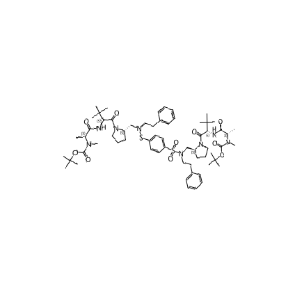 C[C@@H](C(=O)N[C@H](C(=O)N1CCC[C@H]1CN(CCc1ccccc1)Sc1ccc(S(=O)(=O)N(CCc2ccccc2)C[C@@H]2CCCN2C(=O)[C@@H](NC(=O)[C@H](C)N(C)C(=O)OC(C)(C)C)C(C)(C)C)cc1)C(C)(C)C)N(C)C(=O)OC(C)(C)C